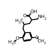 COc1ccc(OC)c(CC(C)CC(CN)C(=O)O)c1